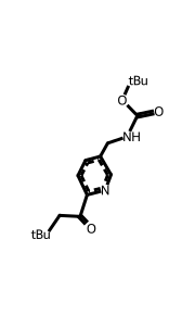 CC(C)(C)CC(=O)c1ccc(CNC(=O)OC(C)(C)C)cn1